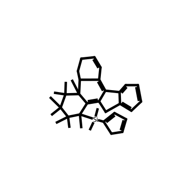 CC12C(=C3Cc4ccccc4C3=C3C=CCCC31)C(C)([Si](C)(C)C1=CC=CC1)C(C)(C)C(C)(C)C2(C)C